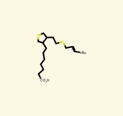 CCCC/C=C/CSCCC1CSCC1CCCCCCC(=O)O